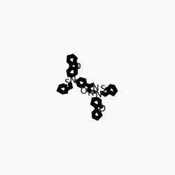 c1ccc2sc(N(c3ccc4c(c3)oc3ccccc34)c3ccc4c(c3)oc3nc(N(c5ccc6c(c5)oc5ccccc56)c5cc6ccccc6s5)ncc34)cc2c1